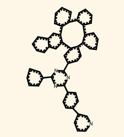 c1ccc(-c2nc(-c3ccc(-c4cccnc4)cc3)nc(-c3ccc4c5ccccc5c5ccccc5c5ccccc5c5cc6ccccc6cc5c4c3)n2)cc1